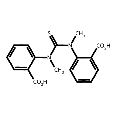 CN(C(=S)N(C)c1ccccc1C(=O)O)c1ccccc1C(=O)O